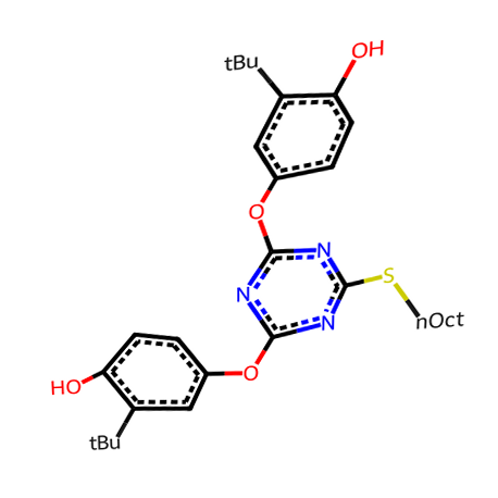 CCCCCCCCSc1nc(Oc2ccc(O)c(C(C)(C)C)c2)nc(Oc2ccc(O)c(C(C)(C)C)c2)n1